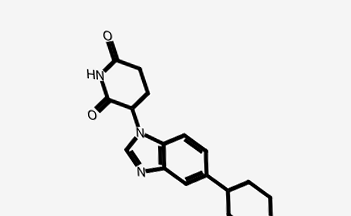 O=C1CCC(n2cnc3cc(C4CCNCC4)ccc32)C(=O)N1